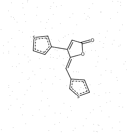 O=C1C=C(c2ccsc2)C(=Cc2ccsc2)O1